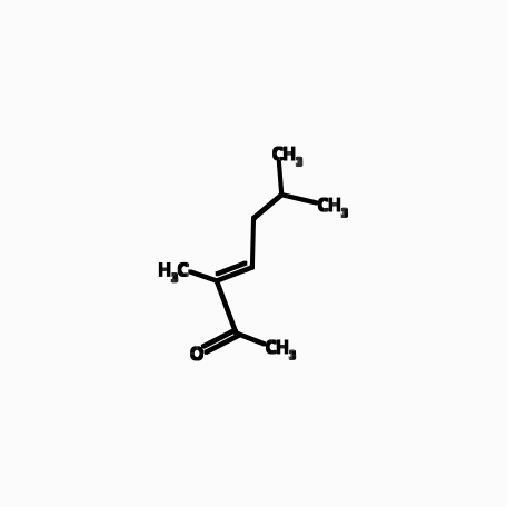 CC(=O)C(C)=CCC(C)C